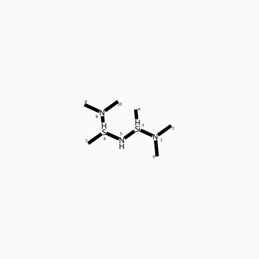 CN(C)[SiH](C)N[SH](C)N(C)C